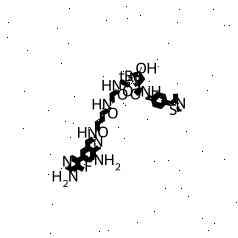 Cc1ncsc1-c1ccc(CNC(=O)[C@@H]2C[C@@H](O)CN2C(=O)[C@@H](NC(=O)CCNC(=O)CCCC(=O)Nc2cc3cc(-c4cncc(N)c4C)c(F)c(N)c3cn2)C(C)(C)C)cc1